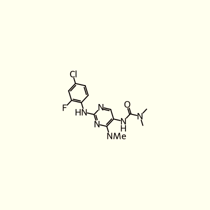 CNc1nc(Nc2ccc(Cl)cc2F)ncc1NC(=O)N(C)C